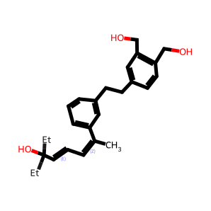 CCC(O)(/C=C/C=C(/C)c1cccc(CCc2ccc(CO)c(CO)c2)c1)CC